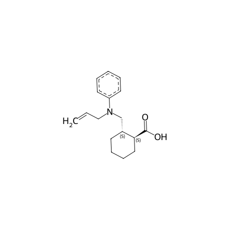 C=CCN(C[C@H]1CCCC[C@@H]1C(=O)O)c1ccccc1